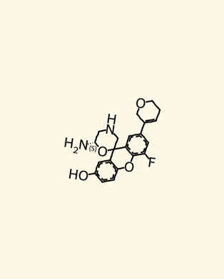 N[C@@H]1CNCC2(O1)c1cc(O)ccc1Oc1c(F)cc(C3=CCCOC3)cc12